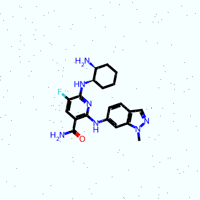 Cn1ncc2ccc(Nc3nc(N[C@@H]4CCCC[C@@H]4N)c(F)cc3C(N)=O)cc21